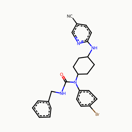 N#Cc1ccc(NC2CCC(N(C(=O)NCc3ccccc3)c3ccc(Br)cc3)CC2)nc1